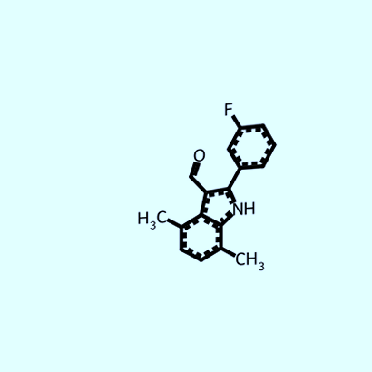 Cc1ccc(C)c2c(C=O)c(-c3cccc(F)c3)[nH]c12